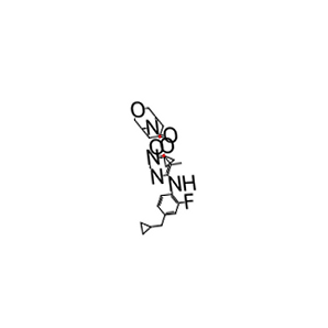 Cc1c(Nc2ccc(CC3CC3)cc2F)ncnc1OC1CC2COCC(C1)N2C(=O)OC1CC1